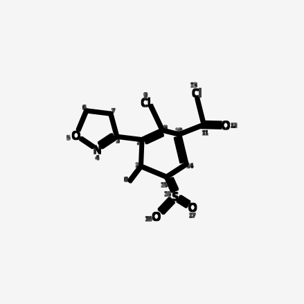 CC1C(C2=NOCC2)=C(Cl)C(C(=O)Cl)=CC1=S(=O)=O